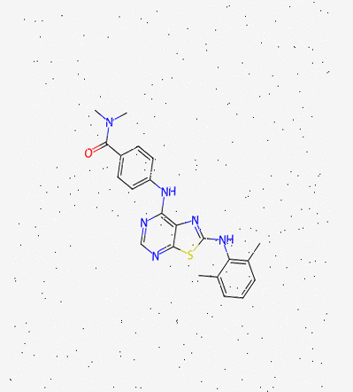 Cc1cccc(C)c1Nc1nc2c(Nc3ccc(C(=O)N(C)C)cc3)ncnc2s1